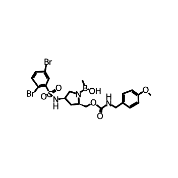 COc1ccc(CNC(=O)OC[C@H]2C[C@@H](NS(=O)(=O)c3cc(Br)ccc3Br)CN2B(C)O)cc1